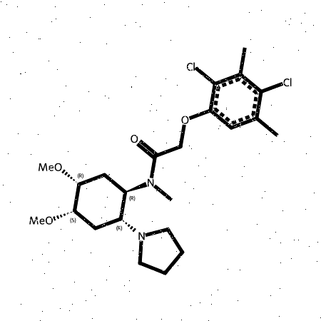 CO[C@H]1C[C@@H](N2CCCC2)[C@H](N(C)C(=O)COc2cc(C)c(Cl)c(C)c2Cl)C[C@H]1OC